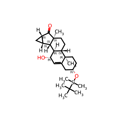 CC(C)(C)[Si](C)(C)O[C@H]1CC[C@@]2(C)C(=C[C@H](O)[C@H]3[C@@H]4[C@@H]5C[C@@H]5C(=O)[C@@]4(C)CC[C@@H]32)C1